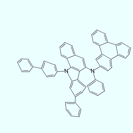 c1ccc(-c2ccc(-n3c4cc(-c5ccccc5)ccc4c4c(N(c5ccccc5)c5ccc6c7ccccc7c7ccccc7c6c5)cc5ccccc5c43)cc2)cc1